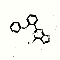 Nc1nc(-c2ccccc2Oc2ccccc2)nc2sccc12